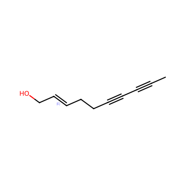 CC#CC#CCC/C=C/CO